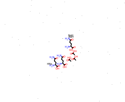 CC(=O)O.CC(=O)O.CC(=O)O.NC(=O)CC[C@H](N)C(=O)O.NC(=O)CC[C@H](N)C(=O)O.NC(=O)CC[C@H](N)C(=O)O.[NaH].[NaH].[NaH]